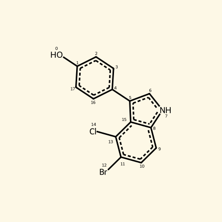 Oc1ccc(-c2c[nH]c3ccc(Br)c(Cl)c23)cc1